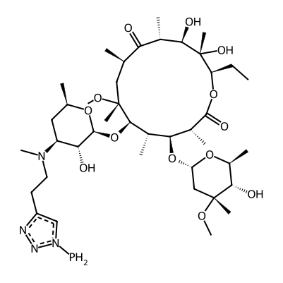 CC[C@H]1OC(=O)[C@H](C)[C@@H](O[C@H]2C[C@@](C)(OC)[C@@H](O)[C@H](C)O2)[C@H](C)[C@@H](O[C@@H]2O[C@H](C)C[C@H](N(C)CCc3cn(P)nn3)[C@H]2O)[C@](C)(OC)C[C@@H](C)C(=O)[C@H](C)[C@@H](O)[C@]1(C)O